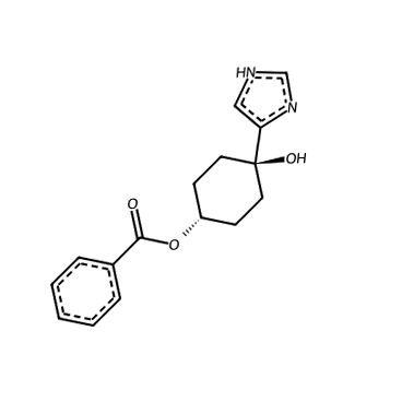 O=C(O[C@H]1CC[C@@](O)(c2c[nH]cn2)CC1)c1ccccc1